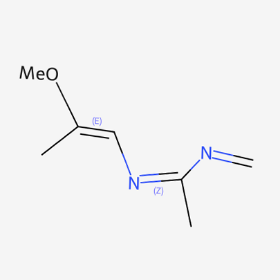 C=N/C(C)=N\C=C(/C)OC